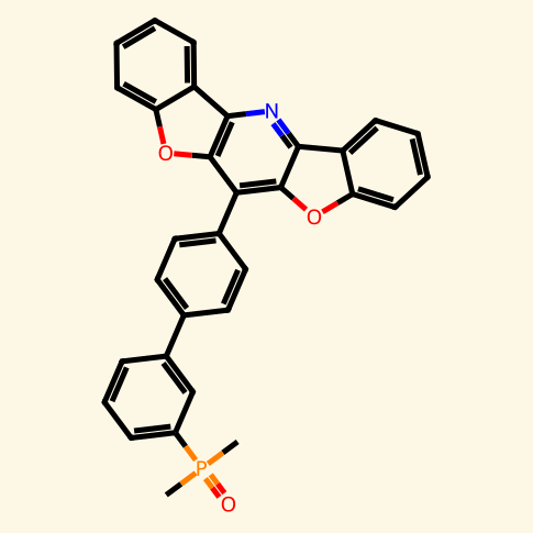 CP(C)(=O)c1cccc(-c2ccc(-c3c4oc5ccccc5c4nc4c3oc3ccccc34)cc2)c1